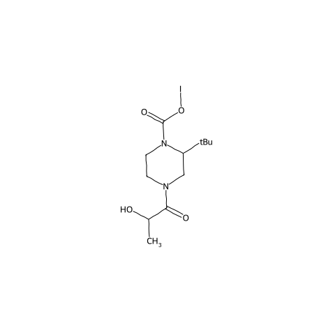 CC(O)C(=O)N1CCN(C(=O)OI)C(C(C)(C)C)C1